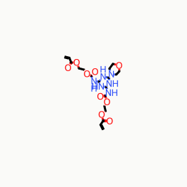 C=CC(=O)OCCOC(=O)NC1NC(NC(=O)OCCOC(=O)C=C)NC(N2CCOCC2)N1